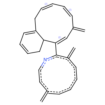 C=C1/C=C\C=C/CC2=CC=CCC2/C(c2nccc(=C)ccccc2=C)=C\1